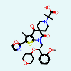 COc1ccccc1[C@H](CN1C(=O)C2(CCN(C(C)(C)C(=O)O)CC2)C(=O)c2c1sc(-c1ncco1)c2C)OC1CCOCC1